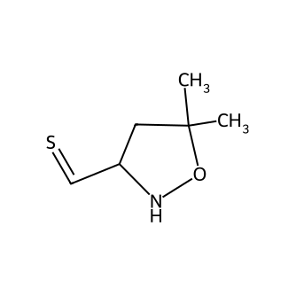 CC1(C)CC(C=S)NO1